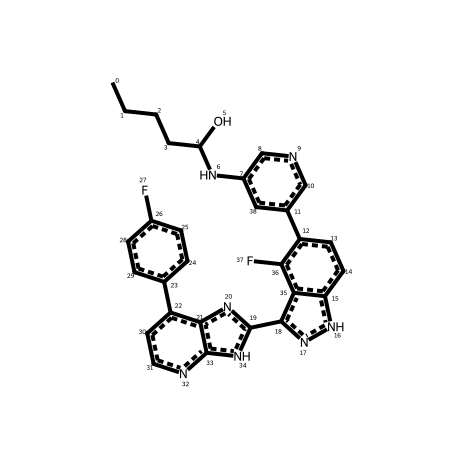 CCCCC(O)Nc1cncc(-c2ccc3[nH]nc(-c4nc5c(-c6ccc(F)cc6)ccnc5[nH]4)c3c2F)c1